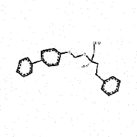 CCC[C@](CC=O)(CCc1ccccc1)OCOc1ccc(-c2ccccc2)cc1